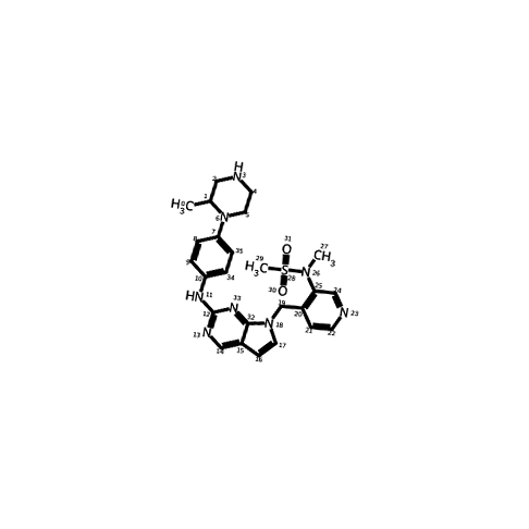 CC1CNCCN1c1ccc(Nc2ncc3ccn(Cc4ccncc4N(C)S(C)(=O)=O)c3n2)cc1